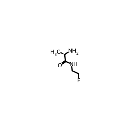 C[C@@H](N)C(=O)NCCF